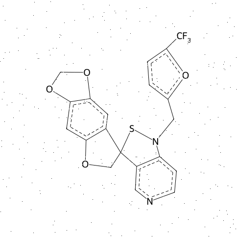 FC(F)(F)c1ccc(CN2SC3(COc4cc5c(cc43)OCO5)c3cnccc32)o1